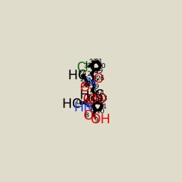 C#CC(=O)Nc1c(C(=O)O)ccc(OC)c1OCCCN(C(=O)C#C)C(=O)Cc1ccccc1Cl